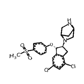 CS(=O)(=O)c1ccc(O[C@H]2c3cc(Cl)cc(Cl)c3C[C@@H]2N2CC3CC2CN3)cc1